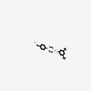 O=C(NO)c1ccc(N2CCN(S(=O)(=O)c3cc(C(F)(F)F)cc(C(F)(F)F)c3)CC2)cc1